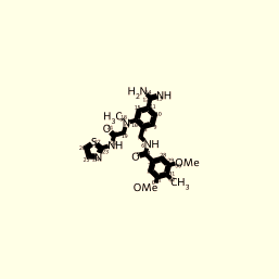 COc1cc(C(=O)NCc2ccc(C(=N)N)cc2N(C)CC(=O)Nc2nccs2)cc(OC)c1C